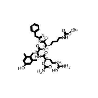 Cc1cc(O)cc(C)c1C[C@H](NC(=O)[C@@H](CCNC(=N)N)OC(N)=O)C(=O)N[C@@H](CCCCNC(=O)OC(C)(C)C)c1nc(Cc2ccccc2)no1